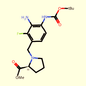 COC(=O)[C@@H]1CCCN1Cc1ccc(NC(=O)OC(C)(C)C)c(N)c1F